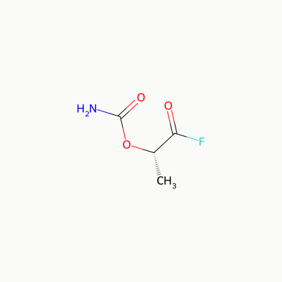 C[C@H](OC(N)=O)C(=O)F